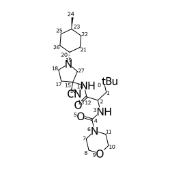 CC(C)(C)CC(NC(=O)N1CCOCC1)C(=O)NC1(C#N)CCN([C@H]2CC[C@H](C)CC2)C1